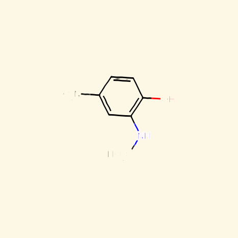 O=C(O)Nc1cc([N+](=O)[O-])ccc1O